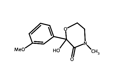 COc1cccc(C2(O)OCCN(C)C2=O)c1